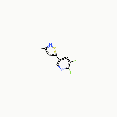 Cc1cc(-c2cnc(F)c(F)c2)sn1